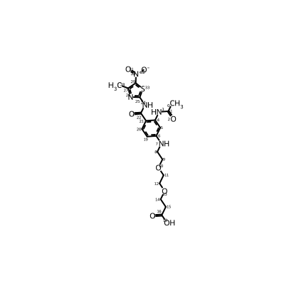 CC(=O)Nc1cc(NCCOCCOCCC(=O)O)ccc1C(=O)Nc1nc(C)c([N+](=O)[O-])s1